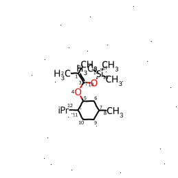 CC(C)=C(OC1CC(C)CCC1C(C)C)O[Si](C)(C)C